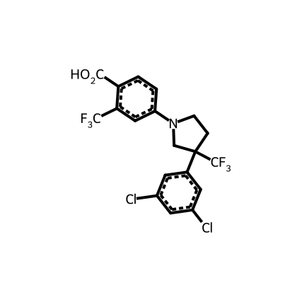 O=C(O)c1ccc(N2CCC(c3cc(Cl)cc(Cl)c3)(C(F)(F)F)C2)cc1C(F)(F)F